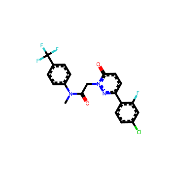 CN(C(=O)Cn1nc(-c2ccc(Cl)cc2F)ccc1=O)c1ccc(C(F)(F)F)cc1